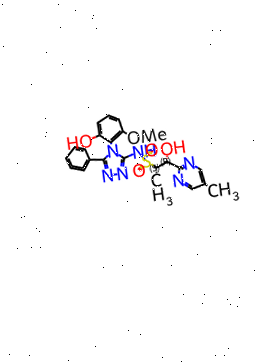 COc1cccc(O)c1-n1c(NS(=O)(=O)[C@@H](C)[C@H](O)c2ncc(C)cn2)nnc1C1=C=C=CC=C1